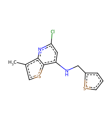 Cc1csc2c(NCc3cccs3)cc(Cl)nc12